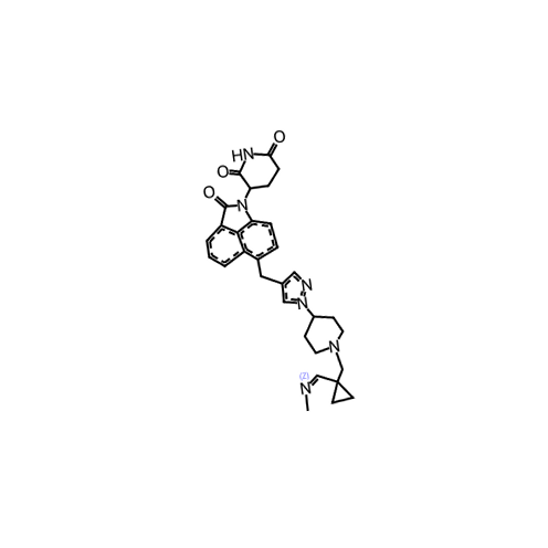 C/N=C\C1(CN2CCC(n3cc(Cc4ccc5c6c(cccc46)C(=O)N5C4CCC(=O)NC4=O)cn3)CC2)CC1